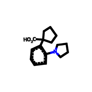 O=C(O)C1(c2ccccc2N2CCCC2)CCCC1